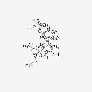 CCOC(C)(OCC)P(=O)(OCC)C(C)[C@H](NC(=O)OC(C)(C)C)C(=O)O